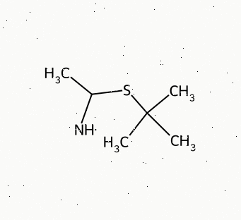 CC([NH])SC(C)(C)C